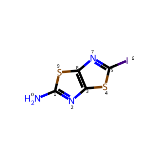 Nc1nc2sc(I)nc2s1